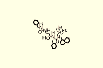 CCOC(CN(Cc1cccc2ccccc12)C(=O)[C@H](Cc1ccccc1)NC(O)CCNC(=O)NCc1ccccc1)OCC